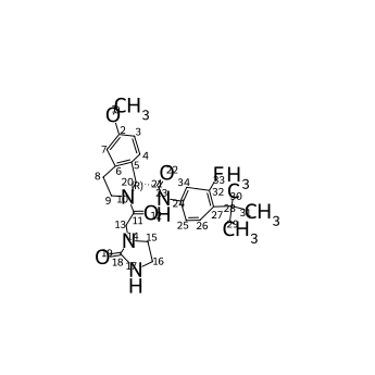 COc1ccc2c(c1)CCN(C(=O)CN1CCNC1=O)[C@H]2C(=O)Nc1ccc(C(C)(C)C)c(F)c1